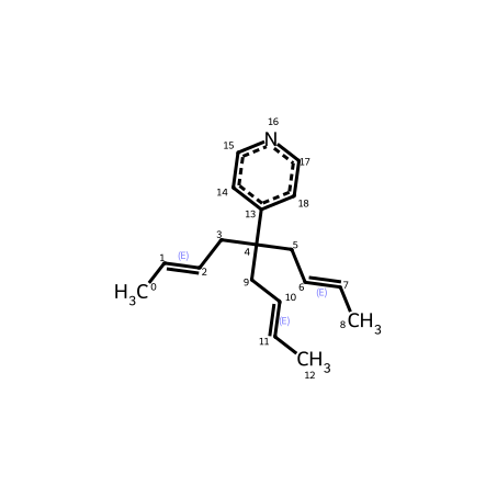 C/C=C/CC(C/C=C/C)(C/C=C/C)c1ccncc1